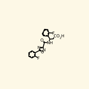 O=C(O)CC(NC(=O)c1noc(-c2ccccc2F)n1)c1ccccc1F